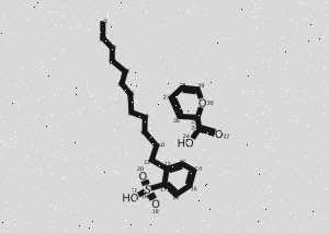 CCCCCCCCCCCCc1ccccc1S(=O)(=O)O.O=C(O)C1C=CC=CO1